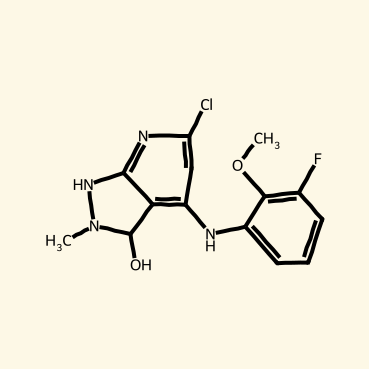 COc1c(F)cccc1Nc1cc(Cl)nc2c1C(O)N(C)N2